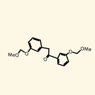 COCOc1cccc(CC(=O)c2cccc(OCOC)c2)c1